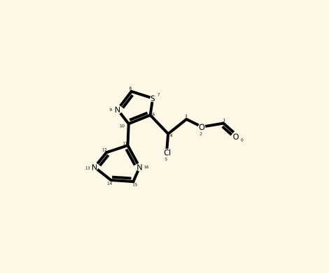 O=COCC(Cl)c1scnc1-c1cnccn1